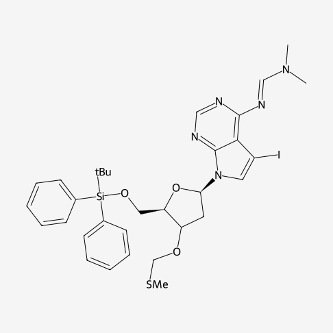 CSCOC1C[C@H](n2cc(I)c3c(/N=C/N(C)C)ncnc32)O[C@@H]1CO[Si](c1ccccc1)(c1ccccc1)C(C)(C)C